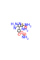 COc1ccc(-c2c(C#N)c(N)nc3sc(C(N)=O)c(N)c23)cc1OCC(N)=O